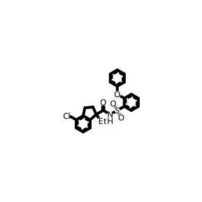 CCC1(C(=O)NS(=O)(=O)c2ccccc2Oc2ccccc2)CCc2c(Cl)cccc21